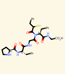 CC(C)CC(S)C(=O)N(C(=O)CNC(=O)[C@H](CC(C)C)NC(=O)[C@@H]1CCCN1)[C@@H](CC(C)C)C(=O)NCC(=O)O